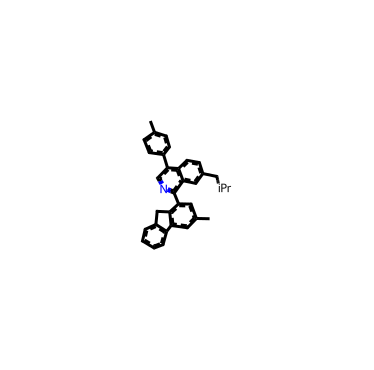 Cc1ccc(-c2cnc(-c3cc(C)cc4c3Cc3ccccc3-4)c3cc(CC(C)C)ccc23)cc1